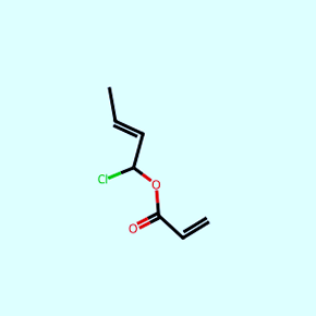 C=CC(=O)OC(Cl)C=CC